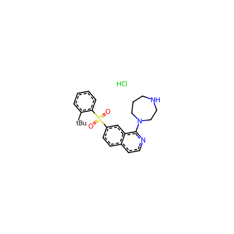 CC(C)(C)c1ccccc1S(=O)(=O)c1ccc2ccnc(N3CCCNCC3)c2c1.Cl